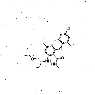 CCOCC(CC)Nc1cc(C)nc(Oc2c(C)cc(Cl)cc2C)c1C(=O)NC